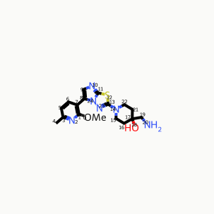 COc1nc(C)ccc1-c1cnc2sc(N3CCC(O)(CN)CC3)nn12